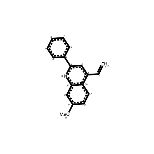 C=Cc1cc(-c2ccccc2)nc2cc(OC)ccc12